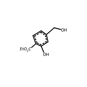 CCOC(=O)c1ccc(CO)cc1O